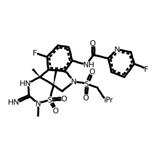 CC(C)CS(=O)(=O)N1CC[C@]2(C1)[C@@](C)(c1cc(NC(=O)c3ccc(F)cn3)ccc1F)NC(=N)N(C)S2(=O)=O